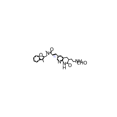 Cc1c(CN(C)C(=O)/C=C/c2cnc3c(c2)CC(CCNC=O)C(=O)N3)oc2ccccc12